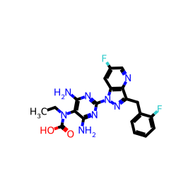 CCN(C(=O)O)c1c(N)nc(-n2nc(Cc3ccccc3F)c3ncc(F)cc32)nc1N